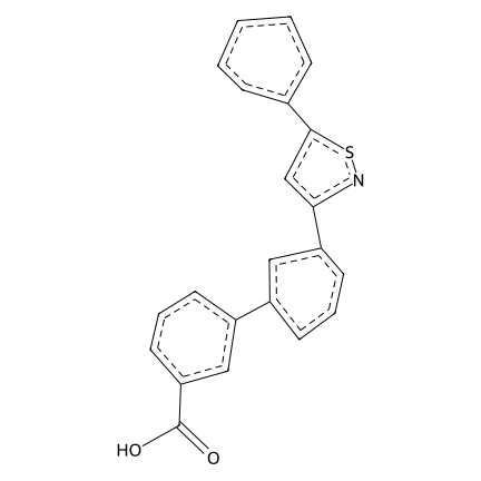 O=C(O)c1cccc(-c2cccc(-c3cc(-c4ccccc4)sn3)c2)c1